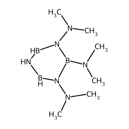 CN(C)B1N(N(C)C)BNBN1N(C)C